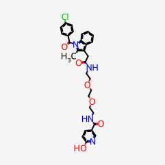 Cc1c(CC(=O)NCCOCCOCCNC(=O)c2ccc(O)nc2)c2ccccc2n1C(=O)c1ccc(Cl)cc1